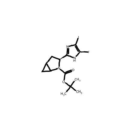 CC(C)(C)OC(=O)N1C2CC2C[C@H]1c1nc(I)c(I)[nH]1